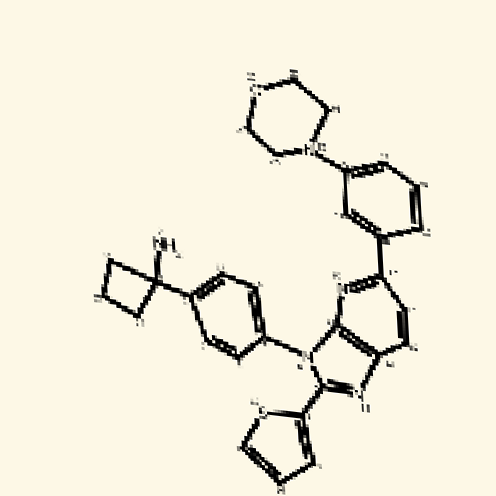 NC1(c2ccc(-n3c(-c4cccs4)nc4ccc(-c5cccc(N6CCOCC6)c5)nc43)cc2)CCC1